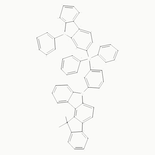 CC1(C)c2ccccc2-c2ccc3c(c21)c1ccccc1n3-c1cccc([Si](c2ccccc2)(c2ccccc2)c2ccc3c4ccccc4n(-c4ccccc4)c3c2)c1